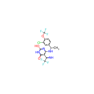 CC(Nc1nc(O)[nH]c(=O)c1C(=N)C(F)(F)F)c1ccc(OC(F)(F)F)c(Cl)c1